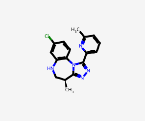 Cc1cccc(-c2nnc3n2-c2ccc(Cl)cc2NC[C@@H]3C)n1